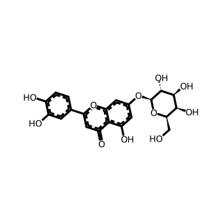 O=c1cc(-c2ccc(O)c(O)c2)oc2cc(O[C@@H]3O[C@H](CO)[C@H](O)[C@H](O)[C@H]3O)cc(O)c12